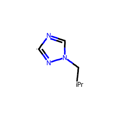 CC(C)Cn1cn[c]n1